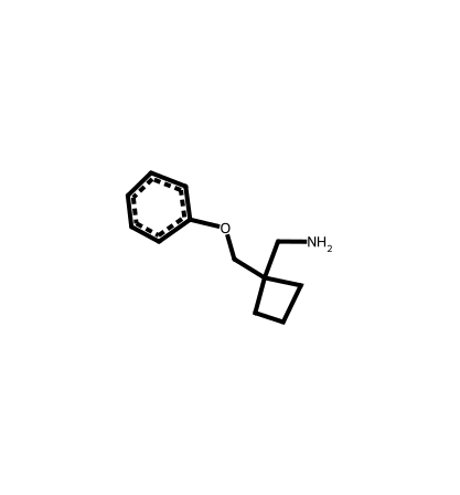 NCC1(COc2ccccc2)CCC1